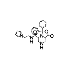 O=C(NCCn1cccc1)C1CNCC2C(=O)OC(c3ccccc3)(c3ccccc3)N12